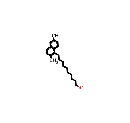 Cc1ccc2c(CCCCCCCCCCBr)c(C)ccc2c1